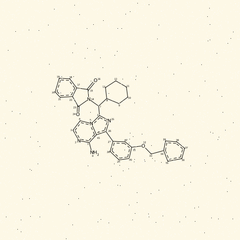 Nc1nccn2c(C(C3CCCCC3)N3C(=O)c4ccccc4C3=O)nc(-c3cccc(OCc4ccccc4)c3)c12